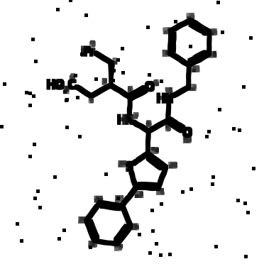 CC(C)C[C@H](CC(=O)O)C(=O)NC(C(=O)NCc1ccccc1)c1ccc(-c2ccccc2)s1